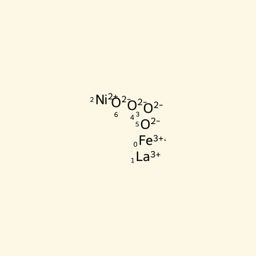 [Fe+3].[La+3].[Ni+2].[O-2].[O-2].[O-2].[O-2]